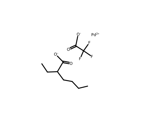 CCCCC(CC)C(=O)[O-].O=C([O-])C(F)(F)F.[Pd+2]